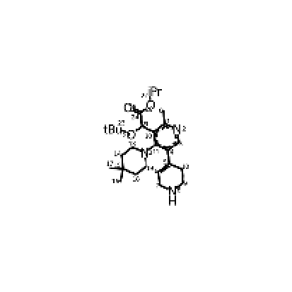 Cc1ncc(C2=CCNCC2)c(N2CCC(C)(C)CC2)c1C(OC(C)(C)C)C(=O)OC(C)C